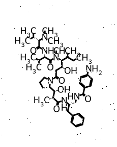 CC[C@H](C)[C@@H]([C@H](O)CC(=O)N1CCC[C@H]1[C@H](O)[C@@H](C)C(=O)N[C@H](CNC(=O)c1ccc(N)cc1)Cc1ccccc1)N(C)C(=O)[C@@H](NC(=O)[C@H](C(C)C)N(C)C)C(C)C